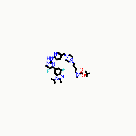 Cc1nc2c(F)cc(-c3nc(Nc4ccc(CN5CCN(CCCCN(C)C(=O)OC(C)(C)C)CC5)cn4)ncc3F)cc2n1C(C)C